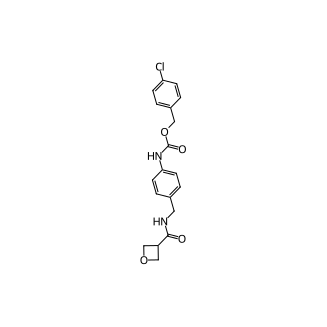 O=C(Nc1ccc(CNC(=O)C2COC2)cc1)OCc1ccc(Cl)cc1